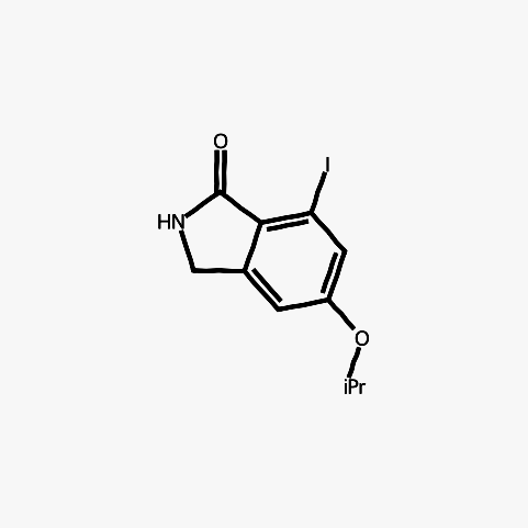 CC(C)Oc1cc(I)c2c(c1)CNC2=O